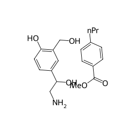 CCCc1ccc(C(=O)OC)cc1.NCC(O)c1ccc(O)c(CO)c1